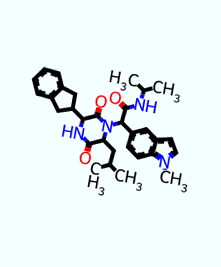 CC(C)CC1C(=O)NC(C2Cc3ccccc3C2)C(=O)N1C(C(=O)NC(C)C)c1ccc2c(ccn2C)c1